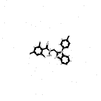 Cc1ccc(-n2c(CN(C(=O)c3c(C)cc(C)cc3C)C(C)C)nc3ccccc32)cc1